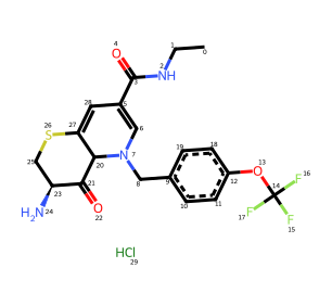 CCNC(=O)C1=CN(Cc2ccc(OC(F)(F)F)cc2)C2C(=O)[C@@H](N)CSC2=C1.Cl